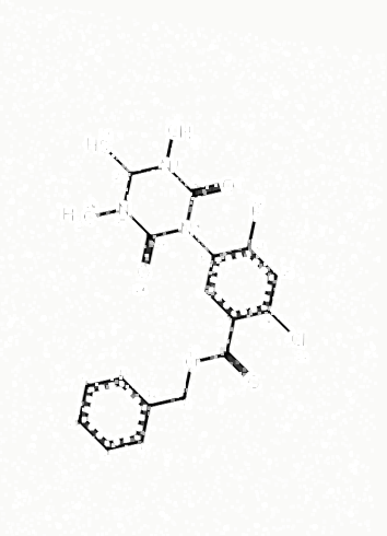 CN1C(=O)N(c2cc(C(=O)OCc3ccccc3)c(Cl)cc2F)C(=O)N(C)C1S